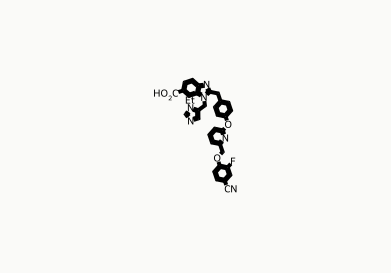 CCn1cncc1Cn1c(Cc2ccc(Oc3cccc(COc4ccc(C#N)cc4F)n3)cc2)nc2ccc(C(=O)O)cc21